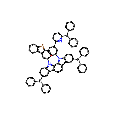 c1ccc(B(c2ccccc2)c2ccc3c(c2)c2ccc4c5cc(B(c6ccccc6)c6ccccc6)ccc5n(-c5ccc6sc7ccccc7c6c5)c4c2n3-c2cccc(-c3cccc(B(c4ccccc4)c4ccccc4)n3)c2)cc1